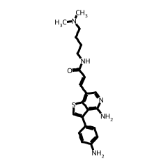 CN(C)CCCCNC(=O)/C=C/c1cnc(N)c2c(-c3ccc(N)cc3)csc12